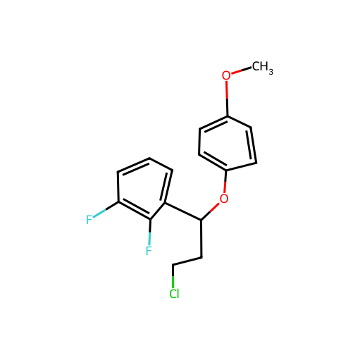 COc1ccc(OC(CCCl)c2cccc(F)c2F)cc1